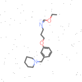 CCO/C=N\CCCOc1cccc(CN2CCCCC2)c1